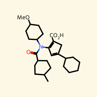 COC1CCC(N(C(=O)C2CCC(C)CC2)C2=C(C(=O)O)CC(C3CCCCC3)=C2)CC1